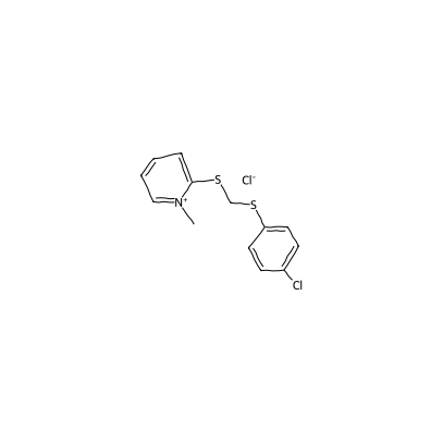 C[n+]1ccccc1SCSc1ccc(Cl)cc1.[Cl-]